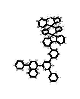 c1ccc(-c2nc(-c3cccc(-c4cccc5c4-c4ccccc4C54c5ccccc5C5(c6ccccc6Sc6ccccc65)c5ccccc54)c3)cc(-c3ccc(-c4ccccc4)c4ccccc34)n2)cc1